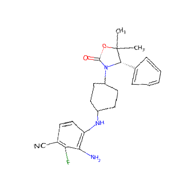 CC1(C)OC(=O)N(C2CCC(Nc3ccc(C#N)c(F)c3N)CC2)[C@H]1c1ccccc1